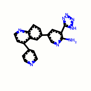 Nc1ncc(-c2ccc3nccc(-c4ccncc4)c3c2)cc1-c1nnn[nH]1